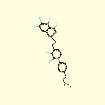 CCCc1ccc(-c2ccc(CCc3cc(F)c4c(F)c(F)c(F)cc4c3)c(F)c2F)cc1